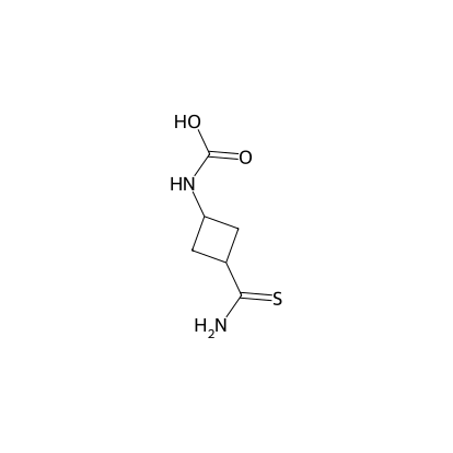 NC(=S)C1CC(NC(=O)O)C1